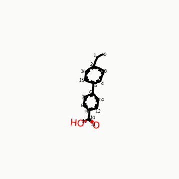 CCc1ccc(-c2ccc(C(=O)O)cc2)cc1